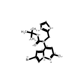 CC(C)(C)OC(=O)N(Cc1nccs1)c1cc(Cl)nn2cc(Br)cc12